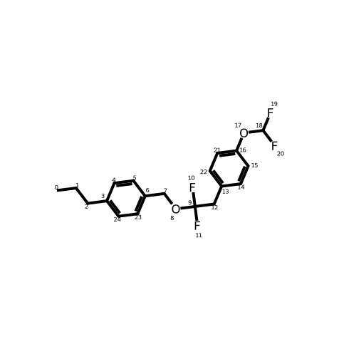 CCCc1ccc(COC(F)(F)Cc2ccc(OC(F)F)cc2)cc1